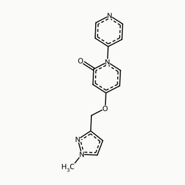 Cn1ccc(COc2ccn(-c3ccncc3)c(=O)c2)n1